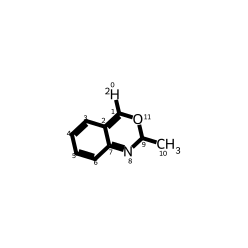 [2H]C1=c2ccccc2=NC(C)O1